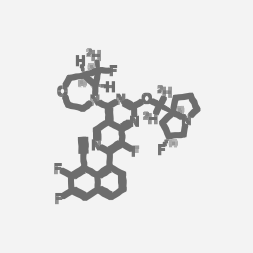 [2H]C([2H])(Oc1nc(N2CCOC[C@@H]3[C@H]2[C@@]3([2H])F)c2cnc(-c3cccc4cc(F)c(F)c(C#C)c34)c(F)c2n1)[C@@]12CCCN1C[C@H](F)C2